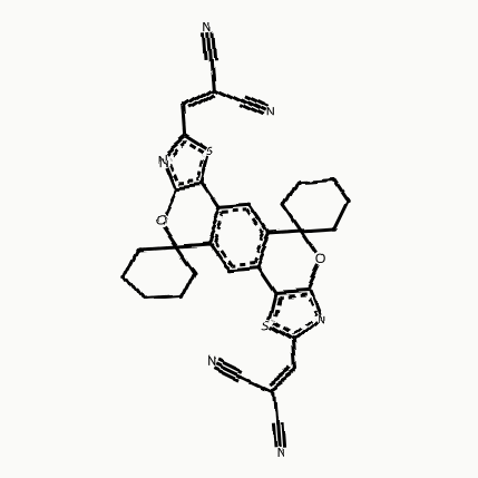 N#CC(C#N)=Cc1nc2c(s1)-c1cc3c(cc1C1(CCCCC1)O2)-c1sc(C=C(C#N)C#N)nc1OC31CCCCC1